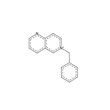 c1ccc(C[n+]2ccc3ncccc3c2)cc1